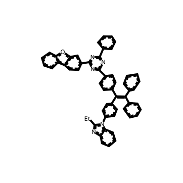 CCc1nc2ccccc2n1-c1ccc(C(=C(c2ccccc2)c2ccccc2)c2ccc(-c3nc(-c4ccccc4)nc(-c4ccc5c(c4)oc4ccccc45)n3)cc2)cc1